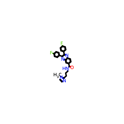 Cn1ccnc1CCCNC(=O)c1ccc2nc(-c3ccc(F)cc3)c(-c3ccc(F)cc3)nc2c1